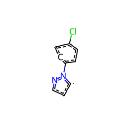 Clc1ccc(-n2[c]ccn2)cc1